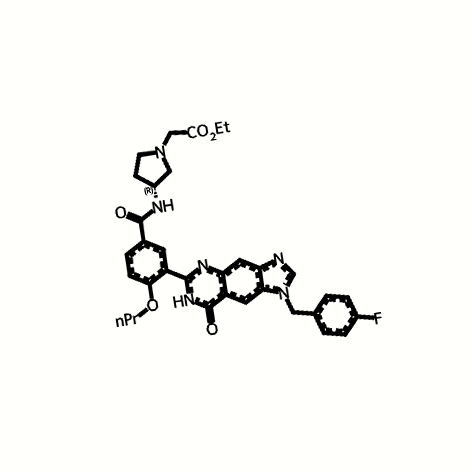 CCCOc1ccc(C(=O)N[C@@H]2CCN(CC(=O)OCC)C2)cc1-c1nc2cc3ncn(Cc4ccc(F)cc4)c3cc2c(=O)[nH]1